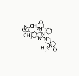 Cc1noc(C)c1-c1ccc2nc(N3CCC4(CCC(=O)N4C)CC3)nc(N3CCOC[C@@H]3c3ccccc3)c2c1